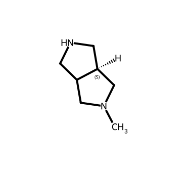 CN1CC2CNC[C@H]2C1